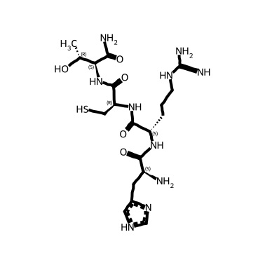 C[C@@H](O)[C@H](NC(=O)[C@H](CS)NC(=O)[C@H](CCCNC(=N)N)NC(=O)[C@@H](N)Cc1c[nH]cn1)C(N)=O